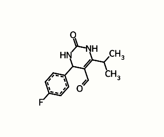 CC(C)C1=C(C=O)C(c2ccc(F)cc2)NC(=O)N1